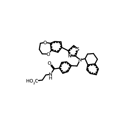 O=C(O)CCNC(=O)c1ccc(CN(c2nc(-c3ccc4c(c3)OCCCO4)cs2)C2CCCc3ccccc32)cc1